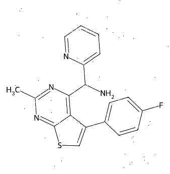 Cc1nc(C(N)c2ccccn2)c2c(-c3ccc(F)cc3)csc2n1